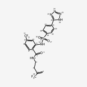 C=C(CCNC(=O)c1ccc(C(F)(F)F)cc1NS(=O)(=O)c1ccc(-c2nnn[nH]2)cc1)C(F)(F)F